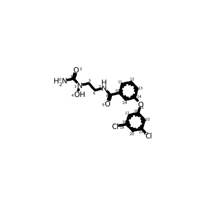 NC(=O)N(O)CCNC(=O)c1cccc(Oc2cc(Cl)cc(Cl)c2)c1